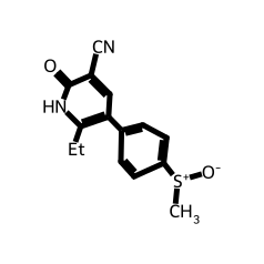 CCc1[nH]c(=O)c(C#N)cc1-c1ccc([S+](C)[O-])cc1